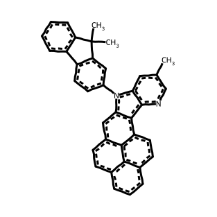 Cc1cnc2c3c4ccc5cccc6ccc(cc3n(-c3ccc7c(c3)C(C)(C)c3ccccc3-7)c2c1)c4c65